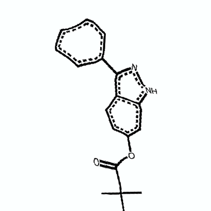 CC(C)(C)C(=O)Oc1ccc2c(-c3ccccc3)n[nH]c2c1